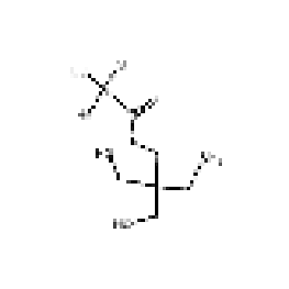 CCC(CO)(CO)COC(=O)C(C)(S)S